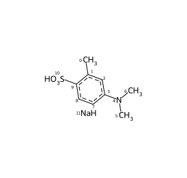 Cc1cc(N(C)C)ccc1S(=O)(=O)O.[NaH]